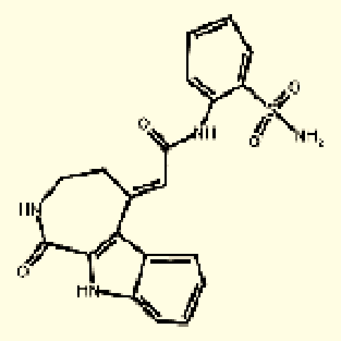 NS(=O)(=O)c1ccccc1NC(=O)C=C1CCNC(=O)c2[nH]c3ccccc3c21